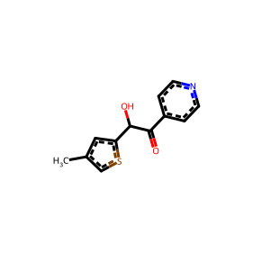 Cc1csc(C(O)C(=O)c2ccncc2)c1